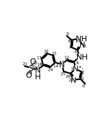 CC1=C[N+]2C(Nc3cc(C)[nH]n3)=CN(c3cccc(NS(C)(=O)=O)c3)CC2=N1